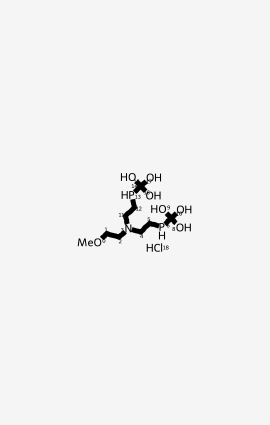 COCCN(CCPC(O)(O)O)CCPC(O)(O)O.Cl